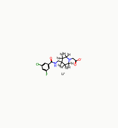 [2H]C1([2H])N(CC(=O)[O-])C([2H])([2H])C([2H])([2H])C([2H])(CNC(=O)c2cc(F)cc(Cl)c2)C1([2H])[2H].[Li+]